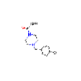 CCc1ccc(CN2CCN(C(=O)NC)CC2)cc1